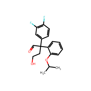 CC(C)Oc1ccccc1C([C]=O)(CCO)c1ccc(F)c(F)c1